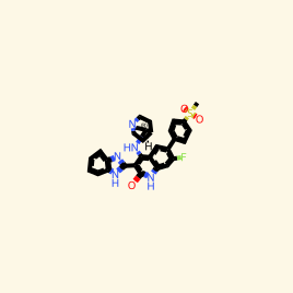 CS(=O)(=O)c1ccc(-c2cc3c(N[C@H]4CN5CCC4CC5)c(-c4nc5ccccc5[nH]4)c(=O)[nH]c3cc2F)cc1